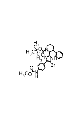 COC(=O)Nc1ccc(-c2nc(C3C(c4ccccc4)CCCN3C(=O)OC(C)(C)C)[nH]c2Br)cc1